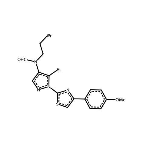 CCc1c(N(C=O)CCC(C)C)cnn1-c1nc(-c2ccc(OC)cc2)cs1